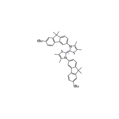 CC1=C(C)N(c2ccc3c(c2)-c2ccc(C(C)(C)C)cc2C3(C)C)/C(=C2\SC(C)=C(C)N2c2ccc3c(c2)-c2ccc(C(C)(C)C)cc2C3(C)C)S1